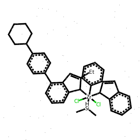 CCC1=Cc2c(-c3ccc(C4CCCCC4)cc3)cccc2[CH]1[Zr]([Cl])([Cl])([c]1ccccc1)([CH]1C=Cc2ccccc21)[SiH](C)C